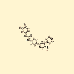 CSc1cnc(-c2ccc(NC(=O)Nc3ccc(F)c(F)c3)cc2)nc1N1CCOCC1